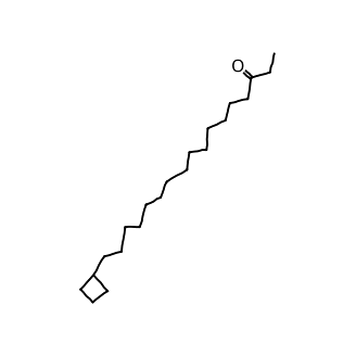 CCC(=O)CCCCCCCCCCCCCCC1CCC1